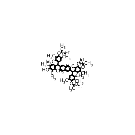 CCOC(C)Oc1c(C)cc(C(c2ccc3cc(C(c4cc(C)c(OC(C)OCC)c(C)c4C)c4cc(C)c(OC(C)OCC)c(C)c4C)ccc3c2)c2cc(C)c(O)c(C)c2C)c(C)c1C